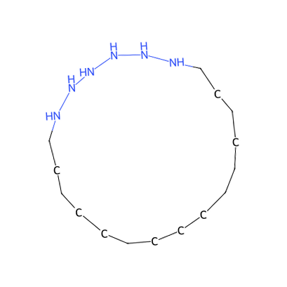 C1CCCCCCCNNNNNNCCCCCCC1